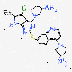 CCc1[nH]c2nc(Sc3ccc4c(N5CC[C@@H](N)C5)ccnc4c3)nc(N3CC[C@H](N)C3)c2c1Cl